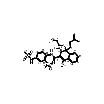 CC(C)CCC1(NC(=O)CN)C(=O)C(C2=NS(=O)(=O)c3cc(NS(C)(=O)=O)ccc3N2)=C(O)c2ccccc21